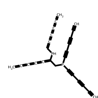 C#CC#CC#CP(C#CC#CC#C)CC(=C=C=C=C=C)PC=C=C=C=C=C